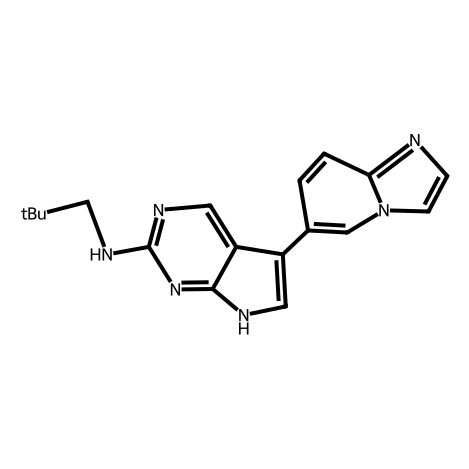 CC(C)(C)CNc1ncc2c(-c3ccc4nccn4c3)c[nH]c2n1